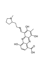 Cc1c(O)c(C=NCCC2CCCN2C)c2nc3c(O)ccc(C(=O)O)c3nc2c1O